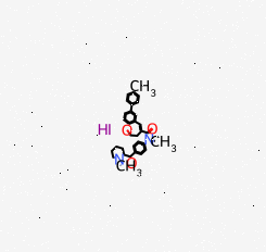 Cc1ccc(-c2ccc3c(c2)C=C(C(=O)N(C)c2ccc(C(=O)C4CCCCN4C)cc2)CCO3)cc1.I